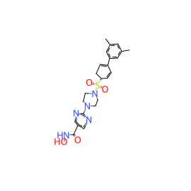 Cc1cc(C)cc(C2=CCC(S(=O)(=O)N3CCN(c4ncc(C(=O)NO)cn4)CC3)C=C2)c1